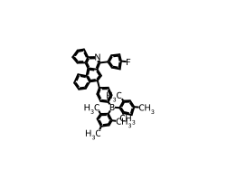 Cc1cc(C)c(B(c2ccc(-c3cc4c(-c5ccc(F)cc5)nc5ccccc5c4c4ccccc34)cc2)c2c(C)cc(C)cc2C)c(C)c1